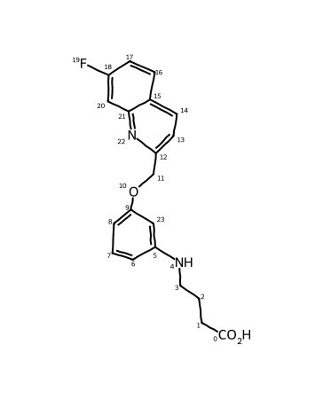 O=C(O)CCCNc1cccc(OCc2ccc3ccc(F)cc3n2)c1